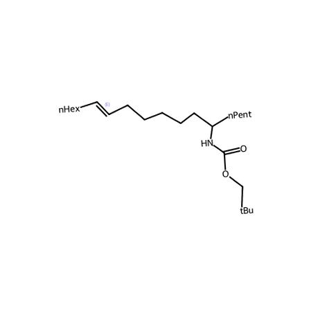 CCCCCC/C=C/CCCCCC(CCCCC)NC(=O)OCC(C)(C)C